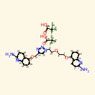 Nc1ccc2c(OCCOCCn3cc(COc4cccc5nc(N)ccc45)nn3)cccc2n1.O=C(O)C(F)(F)F.O=C(O)C(F)(F)F